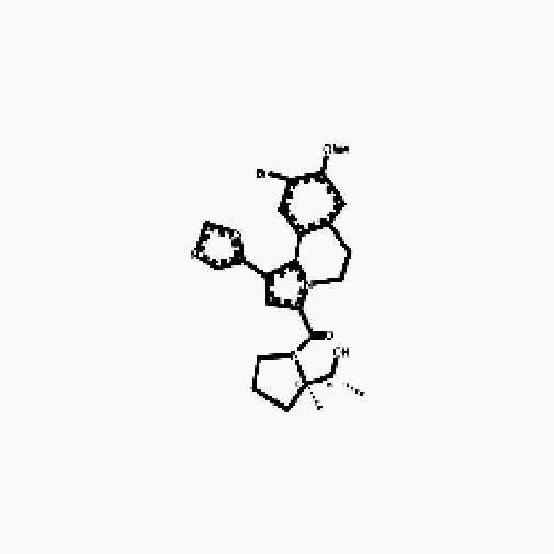 COc1cc2c(cc1Br)-c1c(-c3cncs3)cc(C(=O)N3CCC[C@]3(C)[C@@H](C)O)n1CC2